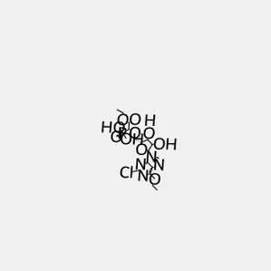 CCOC(=O)[C@H](OC[C@H]1O[C@@H](n2cnc3c(OCC)nc(Cl)nc32)[C@H](O)[C@@H]1O)P(=O)(O)O